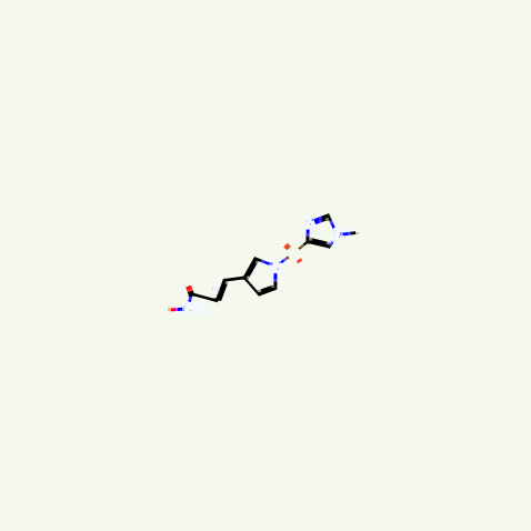 Cn1cnc(S(=O)(=O)n2ccc(/C=C/C(=O)NO)c2)c1